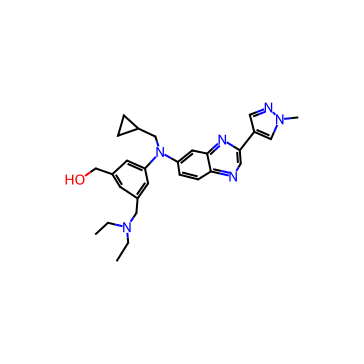 CCN(CC)Cc1cc(CO)cc(N(CC2CC2)c2ccc3ncc(-c4cnn(C)c4)nc3c2)c1